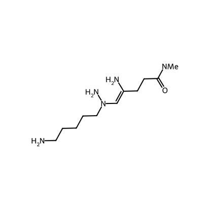 CNC(=O)CC/C(N)=C/N(N)CCCCCN